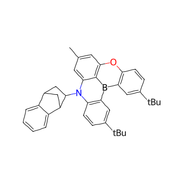 Cc1cc2c3c(c1)N(C1CC4CC1c1ccccc14)c1ccc(C(C)(C)C)cc1B3c1cc(C(C)(C)C)ccc1O2